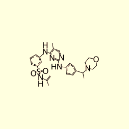 C=C(C)NS(=O)(=O)c1cccc(Nc2nc(Nc3ccc(C(C)N4CCOCC4)cc3)ncc2C)c1